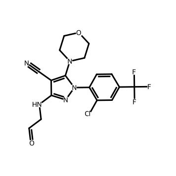 N#Cc1c(NCC=O)nn(-c2ccc(C(F)(F)F)cc2Cl)c1N1CCOCC1